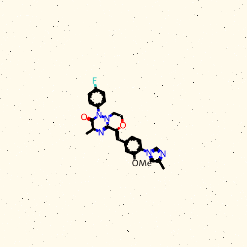 COc1cc(/C=C2\OCCN3C2=NC(C)C(=O)N3c2ccc(F)cc2)ccc1-n1cnc(C)c1